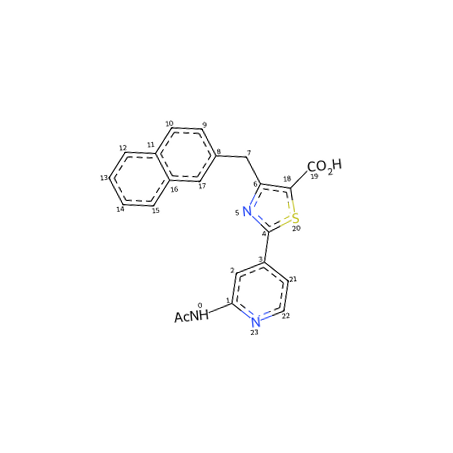 CC(=O)Nc1cc(-c2nc(Cc3ccc4ccccc4c3)c(C(=O)O)s2)ccn1